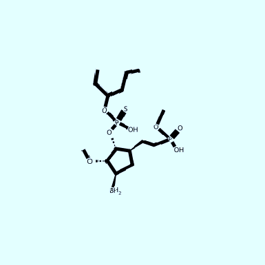 B[C@@H]1C[C@H](CCP(=O)(O)OC)[C@@H](OP(O)(=S)OC(CC)CCC)[C@H]1OC